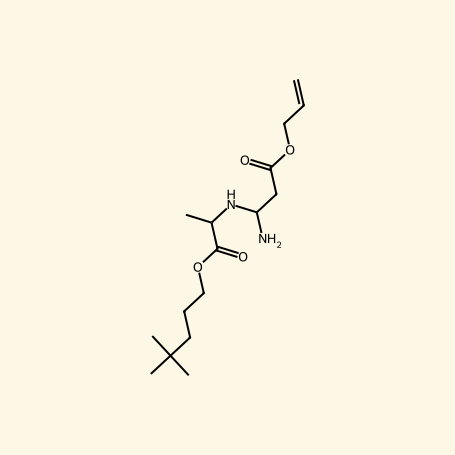 C=CCOC(=O)CC(N)NC(C)C(=O)OCCCC(C)(C)C